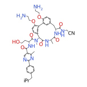 Cc1nc(-c2ccc(CC(C)C)cc2)ncc1C(=O)NC(CCO)C(=O)N(C)C1C(=O)NC(C)C(=O)NC(C(=O)NCC#N)Cc2ccc(OCCN)c(c2)-c2cc1ccc2OCCN